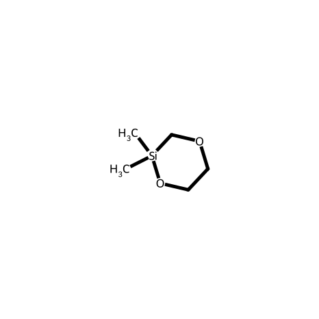 C[Si]1(C)COCCO1